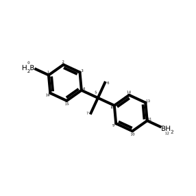 Bc1ccc(C(C)(C)c2ccc(B)cc2)cc1